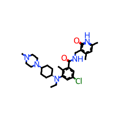 CCN(c1cc(Cl)cc(C(=O)NCc2c(C)cc(C)[nH]c2=O)c1C)[C@H]1CC[C@H](N2CCN(C)CC2)CC1